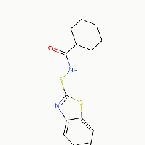 O=C(NSc1nc2ccccc2s1)C1CCCCC1